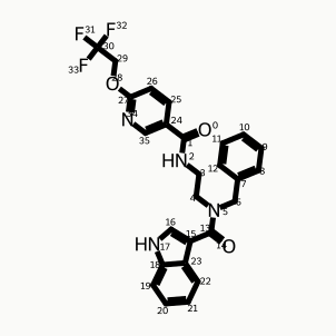 O=C(NCCN(Cc1ccccc1)C(=O)c1c[nH]c2ccccc12)c1ccc(OCC(F)(F)F)nc1